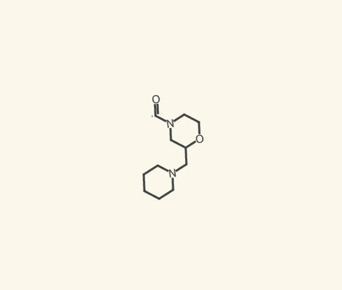 O=[C]N1CCOC(CN2CCCCC2)C1